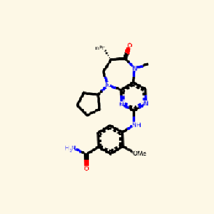 CCC[C@H]1CN(C2CCCC2)c2nc(Nc3ccc(C(N)=O)cc3OC)ncc2N(C)C1=O